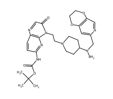 BN(Cc1cc2c(cn1)OCCO2)C1CCN(CCn2c(=O)cnc3ccc(NC(=O)OC(C)(C)C)nc32)CC1